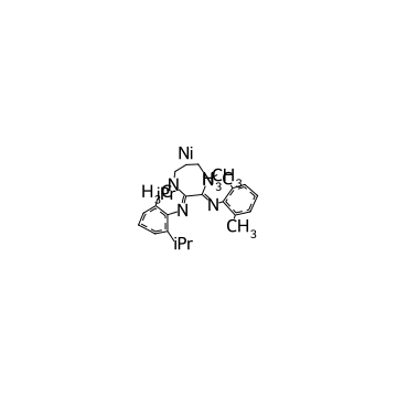 Cc1cccc(C)c1N=C1C(=Nc2c(C(C)C)cccc2C(C)C)N(C)CCCN1C.[Ni]